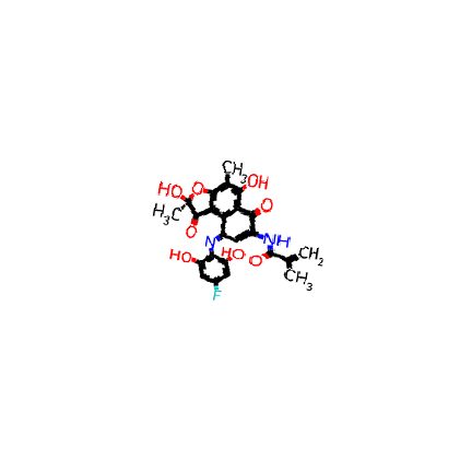 C=C(C)C(=O)NC1=C/C(=N\c2c(O)cc(F)cc2O)c2c(c(O)c(C)c3c2C(=O)[C@@](C)(O)O3)C1=O